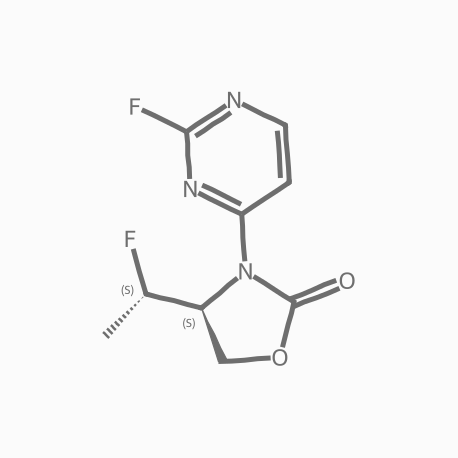 C[C@H](F)[C@@H]1COC(=O)N1c1ccnc(F)n1